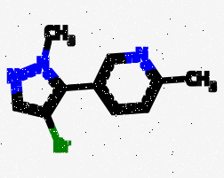 Cc1ccc(-c2c(Br)cnn2C)cn1